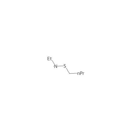 CCCCS[N]CC